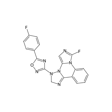 Fc1ccc(-c2nc(N3CN=C4c5ccccc5-n5c(cnc5F)N43)no2)cc1